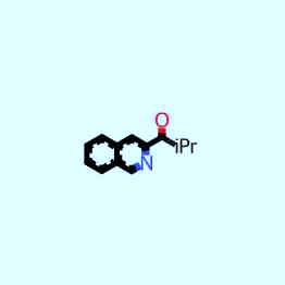 CC(C)C(=O)c1cc2ccccc2cn1